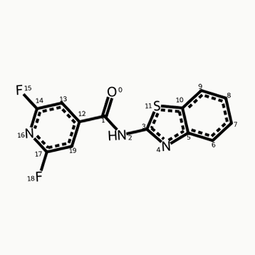 O=C(Nc1nc2ccccc2s1)c1cc(F)nc(F)c1